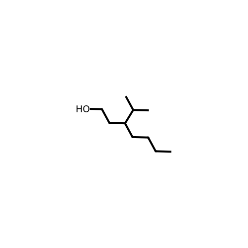 CCCCC(CCO)C(C)C